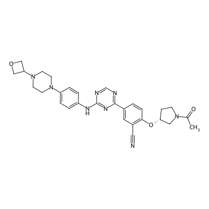 CC(=O)N1CC[C@@H](Oc2ccc(-c3ncnc(Nc4ccc(N5CCN(C6COC6)CC5)cc4)n3)cc2C#N)C1